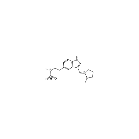 C[C@H](CCc1ccc2[nH]cc(C[C@H]3CCCN3C)c2c1)[SH](=O)=O